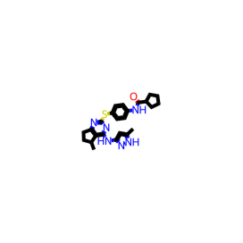 Cc1cc(Nc2nc(Sc3ccc(NC(=O)C4CCCC4)cc3)nc3c2C(C)CC3)n[nH]1